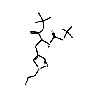 CC(C)(C)OC(=O)NC(Cc1cn(CCF)nn1)C(=O)OC(C)(C)C